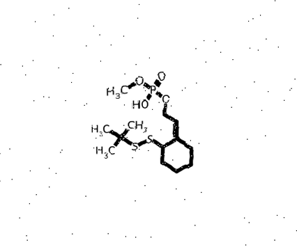 COP(=O)(O)OC/C=C1/CCCCC1SSC(C)(C)C